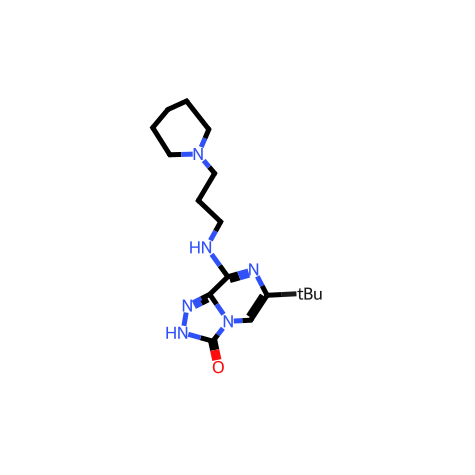 CC(C)(C)c1cn2c(=O)[nH]nc2c(NCCCN2CCCCC2)n1